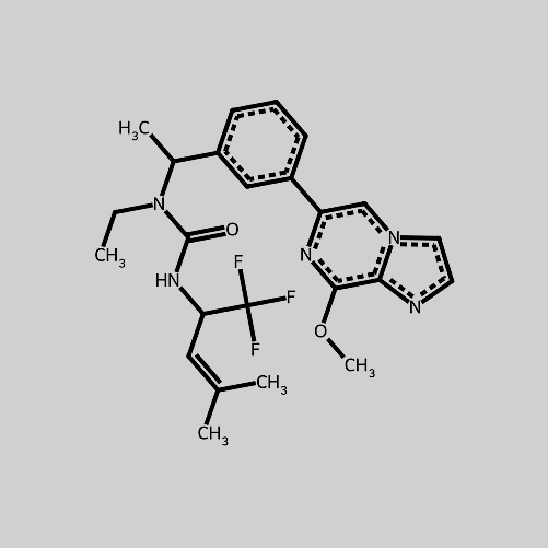 CCN(C(=O)NC(C=C(C)C)C(F)(F)F)C(C)c1cccc(-c2cn3ccnc3c(OC)n2)c1